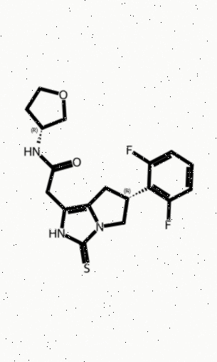 O=C(Cc1[nH]c(=S)n2c1C[C@H](c1c(F)cccc1F)C2)N[C@@H]1CCOC1